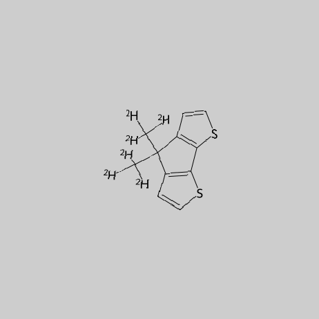 [2H]C([2H])([2H])C1(C([2H])([2H])[2H])c2ccsc2-c2sccc21